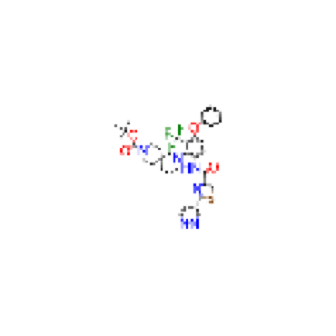 CC(C)(C)OC(=O)N1CCC2(CCCN(c3c(NC(=O)c4csc(-c5ccnnc5)n4)ccc(Oc4ccccc4)c3C(F)(F)F)C2)CC1